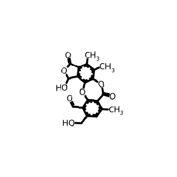 Cc1cc(CO)c(C=O)c2c1C(=O)Oc1c(C)c(C)c3c(c1O2)C(O)OC3=O